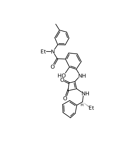 CC[C@@H](Nc1c(Nc2cccc(C(=O)N(CC)c3cccc(C)c3)c2O)c(=O)c1=O)c1ccccc1